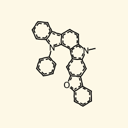 Cn1c2cc3c(cc2c2c1ccc1c4ccccc4n(-c4ccccc4)c12)oc1ccccc13